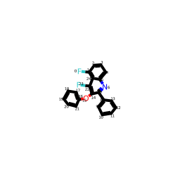 Fc1cccc2nc(-c3ccccc3)c(Oc3ccccc3)c(F)c12